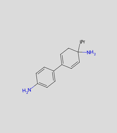 CC(C)C1(N)C=CC(c2ccc(N)cc2)=CC1